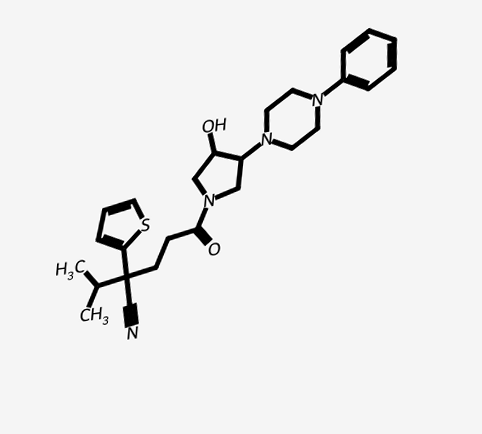 CC(C)C(C#N)(CCC(=O)N1CC(O)C(N2CCN(c3ccccc3)CC2)C1)c1cccs1